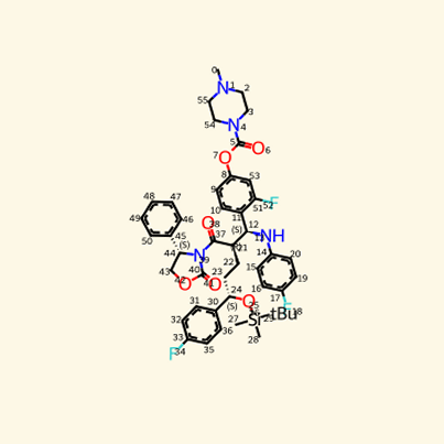 CN1CCN(C(=O)Oc2ccc([C@@H](Nc3ccc(F)cc3)[C@@H](CC[C@H](O[Si](C)(C)C(C)(C)C)c3ccc(F)cc3)C(=O)N3C(=O)OC[C@@H]3c3ccccc3)c(F)c2)CC1